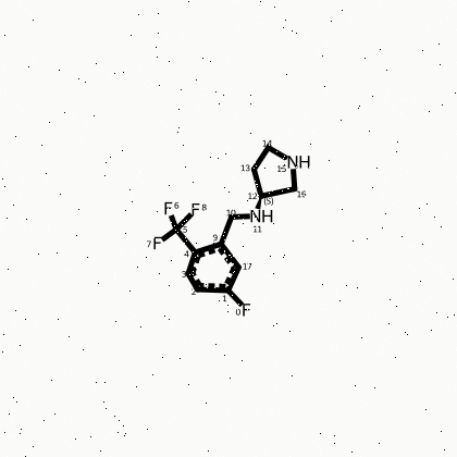 Fc1ccc(C(F)(F)F)c(CN[C@H]2CCNC2)c1